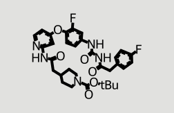 CC(C)(C)OC(=O)N1CCC(CC(=O)Nc2cc(Oc3ccc(NC(=O)NC(=O)Cc4ccc(F)cc4)cc3F)ccn2)CC1